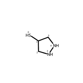 SC1CNNC1